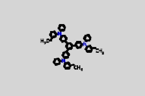 CCc1cccc(N(c2ccccc2)c2ccc(-c3cc(-c4ccc(N(c5ccccc5)c5cccc(CC)c5)cc4)cc(-c4ccc(N(c5ccccc5)c5cccc(CC)c5)cc4)c3)cc2)c1